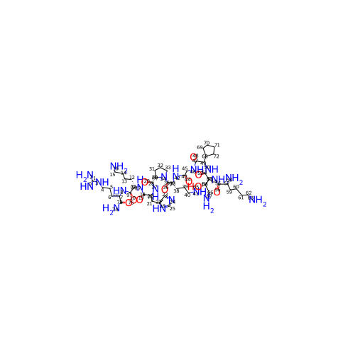 N=C(N)NCC/C=C(\NC(=O)[C@H](CCCCN)NC(=O)[C@H](Cc1cnc[nH]1)NC(=O)[C@@H]1CCCN1C(=O)[C@@H](CCCN)NC(=O)CNC(=O)C(NC(=O)[C@H](NC(=O)C(N)CCCCN)[C@@H](O)CN)C1CCCC1)C(N)=O